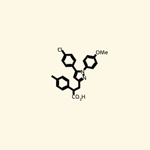 COc1ccc(-n2nc(CC(C(=O)O)c3ccc(C)cc3)cc2-c2ccc(Cl)cc2)cc1